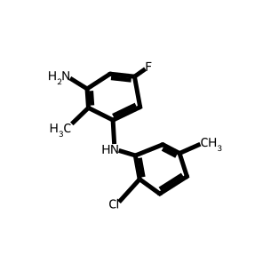 Cc1ccc(Cl)c(Nc2cc(F)cc(N)c2C)c1